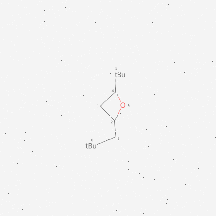 CC(C)(C)CC1CC(C(C)(C)C)O1